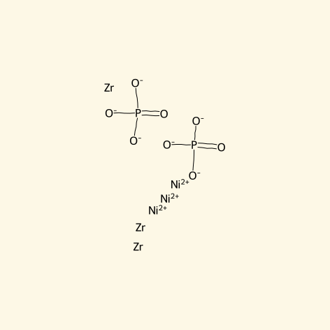 O=P([O-])([O-])[O-].O=P([O-])([O-])[O-].[Ni+2].[Ni+2].[Ni+2].[Zr].[Zr].[Zr]